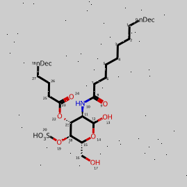 CCCCCCCCCCCCCCCCCC(=O)N[C@H]1C(O)O[C@H](CO)[C@@H](OS(=O)(=O)O)[C@@H]1OC(=O)CCCCCCCCCCCCC